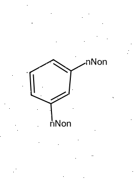 CCCCCCCCCc1c[c]cc(CCCCCCCCC)c1